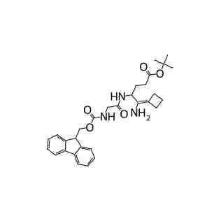 CC(C)(C)OC(=O)CCC(NC(=O)CNC(=O)OCC1c2ccccc2-c2ccccc21)C(N)=C1CCC1